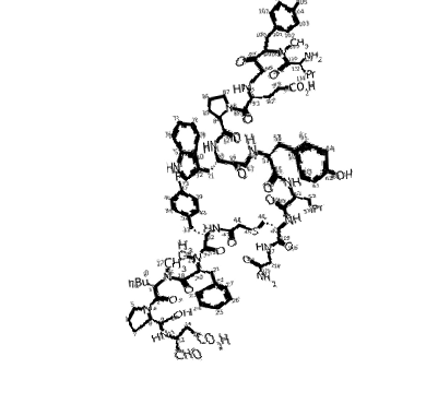 CCCC[C@@H](C(=O)N1CCC[C@@H]1C(O)N[C@H](C=O)CC(=O)O)N(C)C(=O)[C@H](Cc1ccccc1)N(C)C(=O)[C@H](Cc1ccc(F)cc1)NC(=O)CSC[C@H](NC(=O)[C@H](CC(C)C)NC(=O)[C@H](Cc1ccc(O)cc1)NC1OC1[C@H](Cc1c[nH]c2ccccc12)NC(=O)C1CCCN1C(=O)[C@H](CCC(=O)O)NCC(=O)C(Cc1ccc(F)cc1)N(C)C(=O)[C@@H](N)C(C)C)C(=O)NCC(N)=O